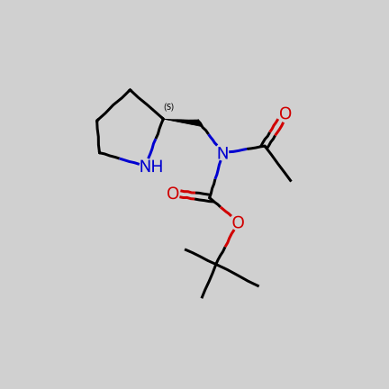 CC(=O)N(C[C@@H]1CCCN1)C(=O)OC(C)(C)C